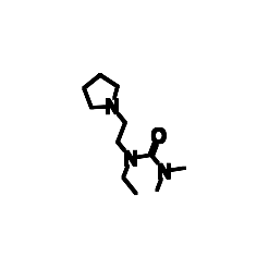 CCN(CCN1CCCC1)C(=O)N(C)C